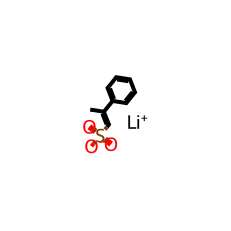 CC(=CS(=O)(=O)[O-])c1ccccc1.[Li+]